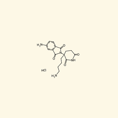 Cl.NCCCCC1(N2C(=O)c3ccc(N)cc3C2=O)CCC(=O)NC1=O